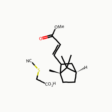 COC(=O)C=CC1C[C@H]2CC[C@@]1(C)C2(C)C.N#CSCC(=O)O